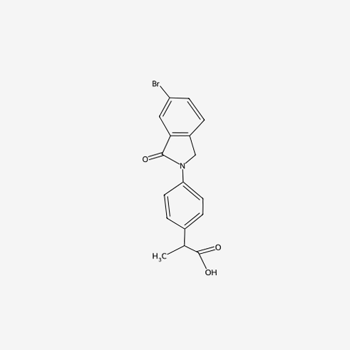 CC(C(=O)O)c1ccc(N2Cc3ccc(Br)cc3C2=O)cc1